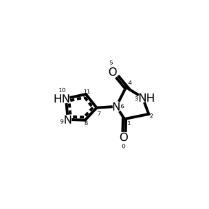 O=C1CNC(=O)N1c1cn[nH]c1